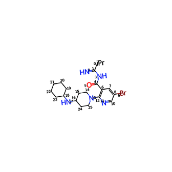 CC(C)C(=N)NC(=O)c1cc(Br)cnc1N1CCC(NC2CCCCC2)CC1